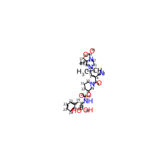 CC(C)(/C=C(\C#N)C(=O)N1CCC[C@H](OC(=O)N[C@@H](Cc2ccccc2)B(O)O)C1)N1CCN2C(=O)OC[C@@H]2C1